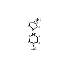 CCN1CCN([C@@H]2CCN(CC)C2)CC1